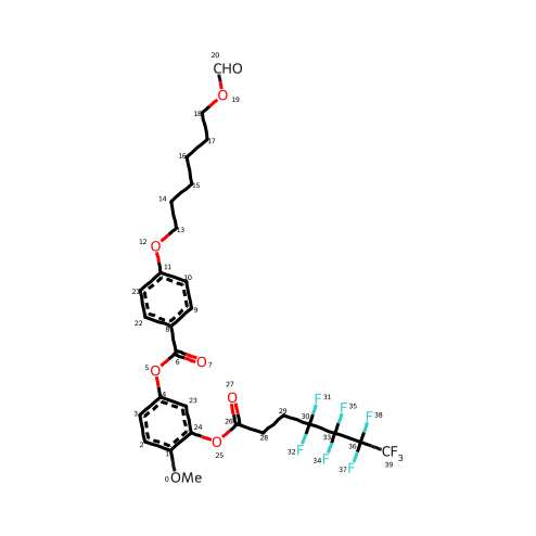 COc1ccc(OC(=O)c2ccc(OCCCCCCOC=O)cc2)cc1OC(=O)CCC(F)(F)C(F)(F)C(F)(F)C(F)(F)F